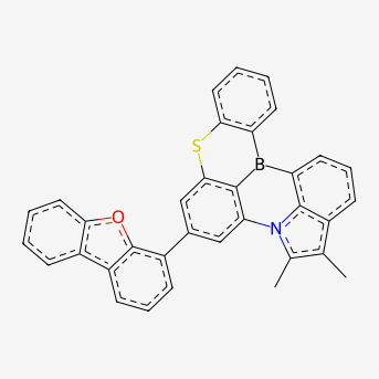 Cc1c(C)n2c3c(cccc13)B1c3ccccc3Sc3cc(-c4cccc5c4oc4ccccc45)cc-2c31